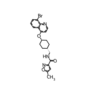 Cc1cc(C(=O)NC[C@H]2CC[C@H](Oc3ccnc4c(Br)cccc34)CC2)no1